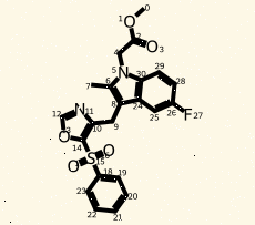 COC(=O)Cn1c(C)c(Cc2ncoc2S(=O)(=O)c2ccccc2)c2cc(F)ccc21